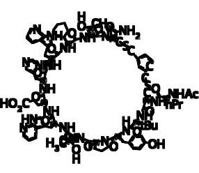 CCC[C@H](NC(C)=O)C(=O)N[C@H]1CSCc2cccc(c2)CSC[C@@H](C(N)=O)NC(=O)[C@H]([C@@H](C)O)NC(=O)[C@H](C2CCCCC2)NC(=O)[C@H](Cc2c[nH]c3ncccc23)NC(=O)[C@H](Cc2cnc[nH]2)NC(=O)[C@H](CCC(=O)O)NC(=O)[C@H](Cc2c[nH]c3ncccc23)NC(=O)[C@H]([C@@H](C)O)NC(=O)[C@H]2CCCN2C(=O)[C@H](Cc2ccc(O)cc2)NC(=O)[C@H](C(C)(C)C)NC1=O